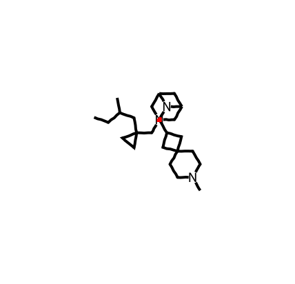 CCC(C)CC1(CN2CC3CC(C2)N3CC2CC3(CCN(C)CC3)C2)CC1